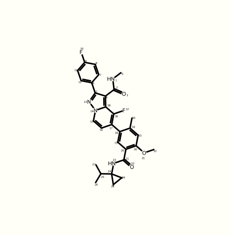 CNC(=O)c1c(-c2ccc(F)cc2)nn2ccc(-c3cc(C(=O)NC4(C(C)C)CC4)c(OC)cc3C)c(F)c12